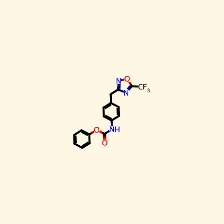 O=C(Nc1ccc(Cc2noc(C(F)(F)F)n2)cc1)Oc1ccccc1